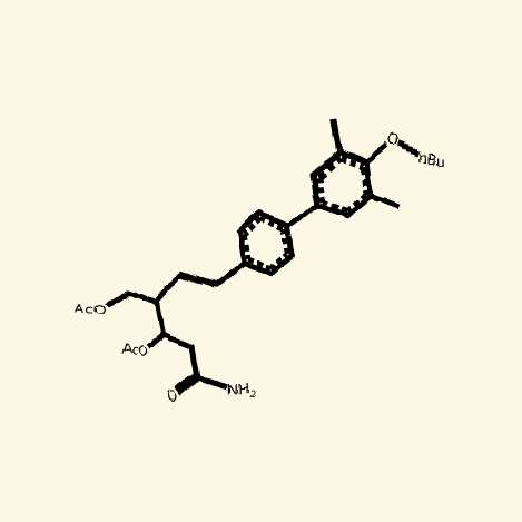 CCCCOc1c(C)cc(-c2ccc(CCC(COC(C)=O)C(CC(N)=O)OC(C)=O)cc2)cc1C